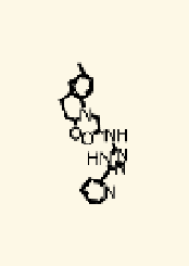 Cc1ccc2c(c1)CCC(=O)N2CC(=O)Nc1nnc(-c2ccccn2)[nH]1